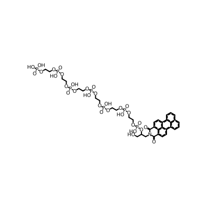 O=C1c2ccc3c4cccc5cccc(c6ccc(c2c36)C(=O)N1CC(CO)OP(=O)(O)OCCOP(=O)(O)OCCOP(=O)(O)OCCOP(=O)(O)OCCOP(=O)(O)OCCOP(=O)(O)OCCOP(=O)(O)O)c54